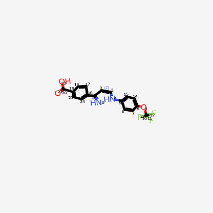 N=C(/C=C\Nc1ccc(OC(F)(F)F)cc1)c1ccc(C(=O)O)cc1